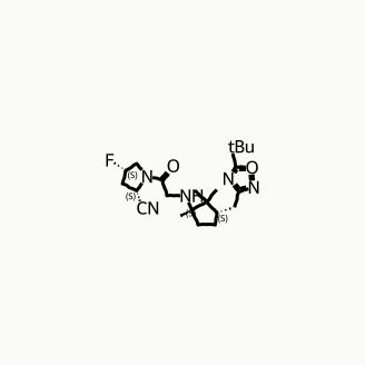 CC(C)(C)c1nc(C[C@@H]2CC[C@](C)(NCC(=O)N3C[C@@H](F)C[C@H]3C#N)C2(C)C)no1